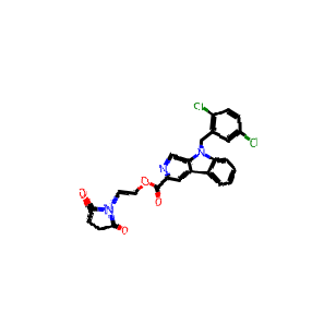 O=C(OCCN1C(=O)CCC1=O)c1cc2c3ccccc3n(Cc3cc(Cl)ccc3Cl)c2cn1